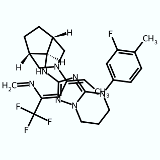 C=N/C(=C\C(=C/C)N1C[C@H]2CC[C@@H](C1)[C@@H]2Nc1nc2n(n1)CCCN2c1ccc(C)c(F)c1)C(F)(F)F